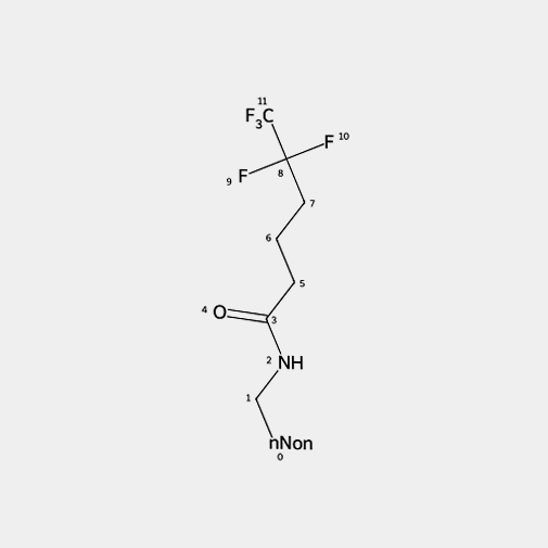 [CH2]CCCCCCCCCNC(=O)CCCC(F)(F)C(F)(F)F